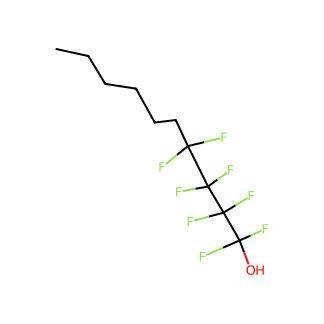 CCCCCCC(F)(F)C(F)(F)C(F)(F)C(O)(F)F